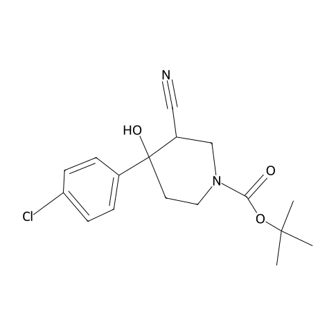 CC(C)(C)OC(=O)N1CCC(O)(c2ccc(Cl)cc2)C(C#N)C1